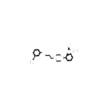 N#Cc1cccc(OCCCN2CCN(c3cccc4[nH]c(=O)oc34)CC2)c1